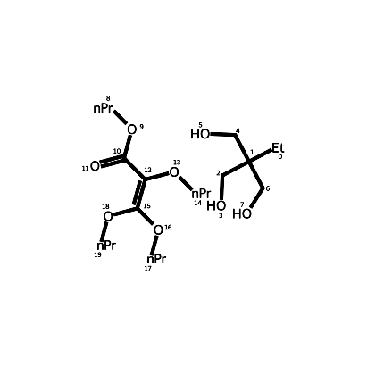 CCC(CO)(CO)CO.CCCOC(=O)C(OCCC)=C(OCCC)OCCC